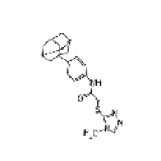 Cn1cnnc1SCC(=O)Nc1ccc(C23CC4CC(CC(C4)C2)C3)cc1